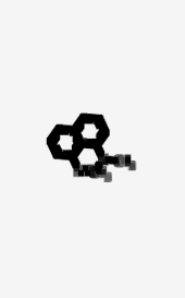 CNc1cccc2cccc(N(C)C)c12